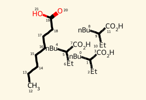 CCCCC(CC)C(=O)O.CCCCC(CC)C(=O)O.CCCCC(CC)C(=O)O.CCCCCCCC(=O)O